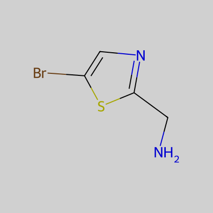 NCc1ncc(Br)s1